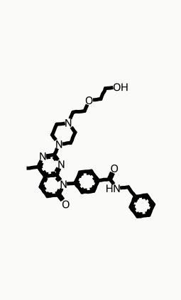 Cc1nc(N2CCN(CCOCCO)CC2)nc2c1ccc(=O)n2-c1ccc(C(=O)NCc2ccccc2)cc1